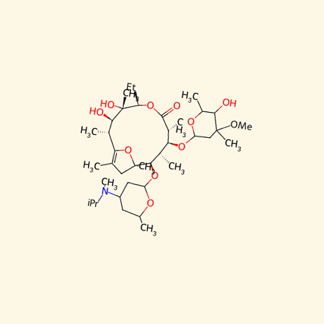 CC[C@H]1OC(=O)[C@H](C)[C@@H](OC2CC(C)(OC)C(O)C(C)O2)[C@H](C)[C@@H](OC2CC(N(C)C(C)C)CC(C)O2)[C@@]2(C)CC(C)=C(O2)[C@H](C)[C@@H](O)[C@]1(C)O